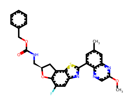 COc1cnc2c(-c3nc4cc(F)c5c(c4s3)C[C@H](CNC(=O)OCc3ccccc3)O5)cc(C)cc2n1